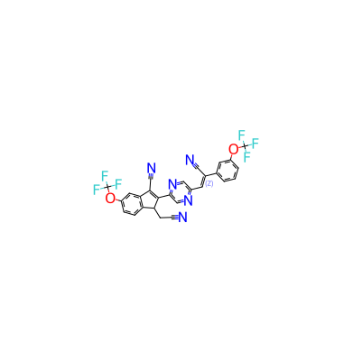 N#CCC1C(c2cnc(/C=C(\C#N)c3cccc(OC(F)(F)F)c3)cn2)=C(C#N)c2cc(OC(F)(F)F)ccc21